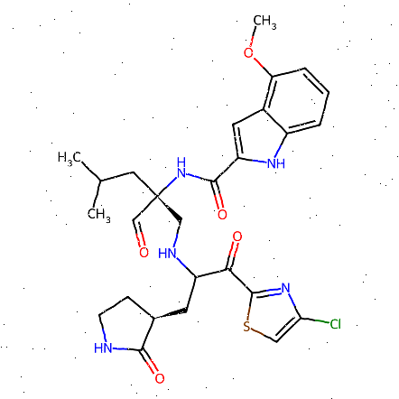 COc1cccc2[nH]c(C(=O)N[C@@](C=O)(CNC(C[C@@H]3CCNC3=O)C(=O)c3nc(Cl)cs3)CC(C)C)cc12